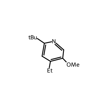 CCc1cc(C(C)(C)C)ncc1OC